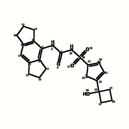 O=C(Nc1c2c(cc3c1CCC3)CCC2)NS(=O)(=O)c1ncc(C2(O)CCC2)s1